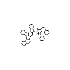 c1ccc(-c2nc(-n3c4ccccc4c4c5c6ccccc6n6c7c8ccccc8ccc7c(cc43)c56)nc3ccc4ccccc4c23)cc1